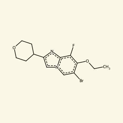 CCOc1c(Br)cn2cc(C3CCOCC3)nc2c1F